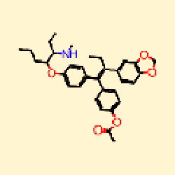 CCCC(Oc1ccc(C(=C(CC)c2ccc3c(c2)OCO3)c2ccc(OC(C)=O)cc2)cc1)C(CC)NC